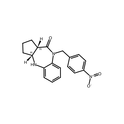 O=C1[C@H]2CCC[C@H]2Nc2ccccc2N1Cc1ccc([N+](=O)[O-])cc1